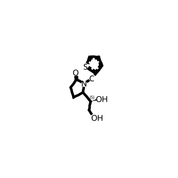 O=C1CCC([C@H](O)CO)N1Cc1cccs1